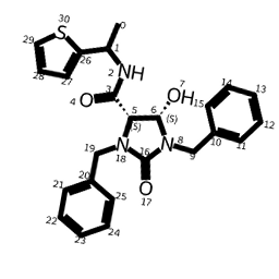 CC(NC(=O)[C@@H]1[C@H](O)N(Cc2ccccc2)C(=O)N1Cc1ccccc1)c1cccs1